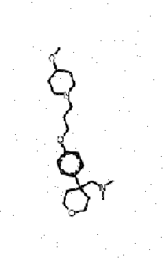 COC1CCN(CCCOc2ccc(C3(CN(C)C)CCOCC3)cc2)CC1